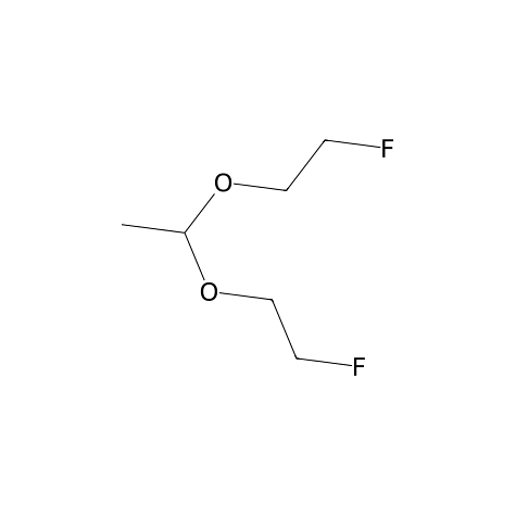 CC(OCCF)OCCF